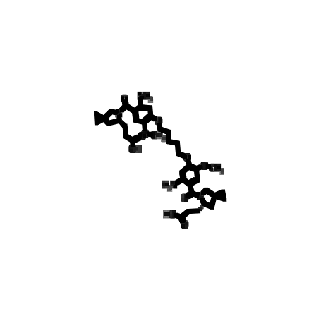 COc1cc(C(=O)N2CC3(CC3)C[C@@H]2CCC(=O)O)c(N)cc1OCCCCCOc1cc(N)c(C(=O)N2CC3(CC3)C[C@@H]2CCC(=O)O)cc1OC